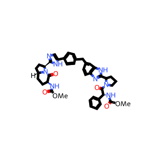 COC(=O)N[C@H]1CC[C@H]2CC[C@@H](c3ncc(-c4ccc(Cc5ccc6nc(C7CCCN7C(=O)[C@H](NC(=O)OC)c7ccccc7)[nH]c6c5)cc4)[nH]3)N2C1=O